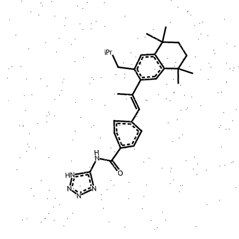 CC(=Cc1ccc(C(=O)Nc2nnn[nH]2)cc1)c1cc2c(cc1CC(C)C)C(C)(C)CCC2(C)C